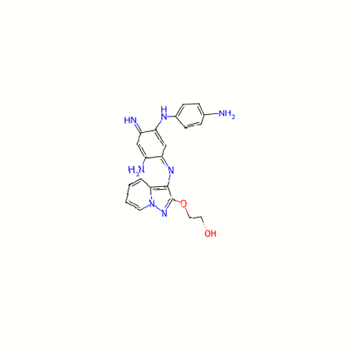 N=C1C=C(N)/C(=N\c2c(OCCO)nn3ccccc23)C=C1Nc1ccc(N)cc1